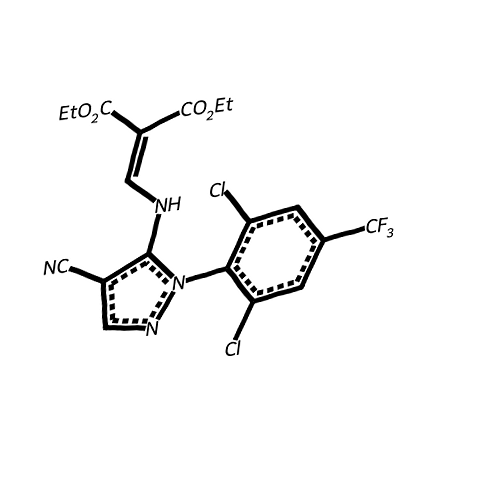 CCOC(=O)C(=CNc1c(C#N)cnn1-c1c(Cl)cc(C(F)(F)F)cc1Cl)C(=O)OCC